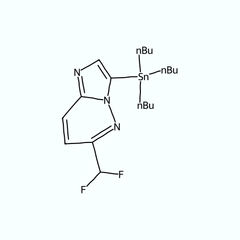 CCC[CH2][Sn]([CH2]CCC)([CH2]CCC)[c]1cnc2ccc(C(F)F)nn12